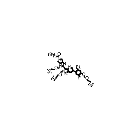 CCc1cc(OCOCC[Si](C)(C)C)c(F)cc1-c1cnc2c(-c3nc4c(n3COCC[Si](C)(C)C)CN(C(=O)OC(C)(C)C)C4)n(COCC[Si](C)(C)C)nc2c1